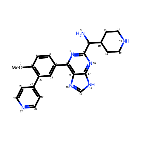 COc1ccc(-c2nc(C(N)C3CCNCC3)nc3[nH]cnc23)cc1-c1ccncc1